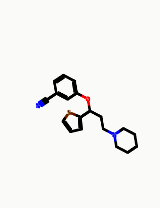 N#Cc1cccc(OC(CCN2CCCCC2)c2cccs2)c1